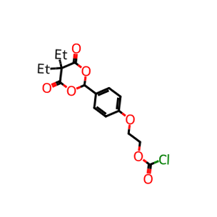 CCC1(CC)C(=O)OC(c2ccc(OCCOC(=O)Cl)cc2)OC1=O